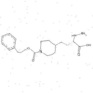 BN[C@@H](CCC1CCN(C(=O)OCc2ccccc2)CC1)C(=O)O